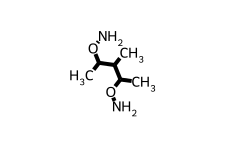 CC(ON)C(C)C(C)ON